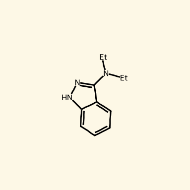 CCN(CC)c1n[nH]c2ccccc12